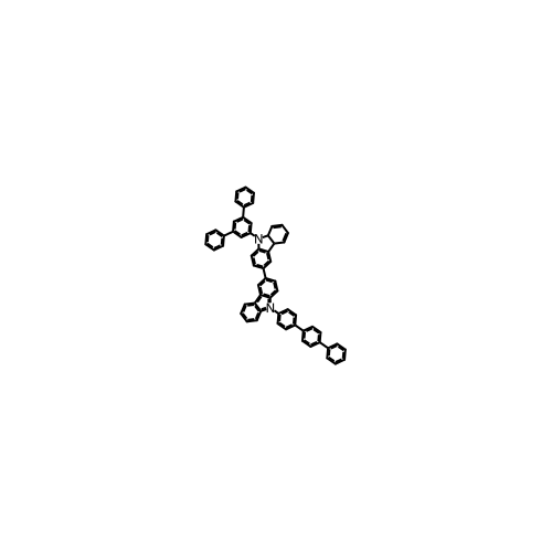 C1=CC2c3cc(-c4ccc5c(c4)c4ccccc4n5-c4ccc(-c5ccc(-c6ccccc6)cc5)cc4)ccc3N(c3cc(-c4ccccc4)cc(-c4ccccc4)c3)C2C=C1